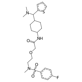 CN(C)C(c1cccs1)C1CCC(NC(=O)COCCN(C)S(=O)(=O)c2ccc(F)cc2)CC1